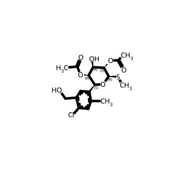 CS[C@H]1O[C@@H](c2cc(CO)c(Cl)cc2C)[C@H](OC(C)=O)[C@@H](O)[C@@H]1OC(C)=O